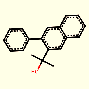 CC(C)(O)c1cc2ccccc2cc1-c1ccccc1